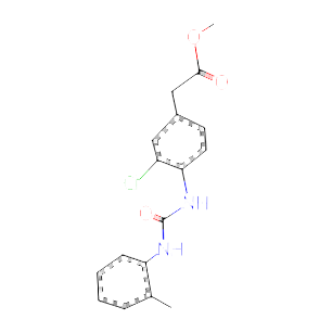 COC(=O)Cc1ccc(NC(=O)Nc2ccccc2C)c(Cl)c1